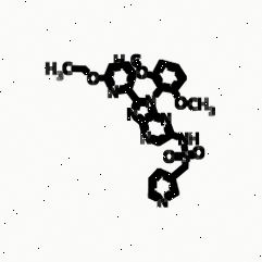 CCOc1cccc(-c2nc3ncc(NS(=O)(=O)Cc4cccnc4)nc3n2-c2c(OC)cccc2OC)n1